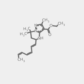 C\C=C/C=C\C=C\C1CC(C)(C)n2nc(C)c(C(=O)OCC)c2N1